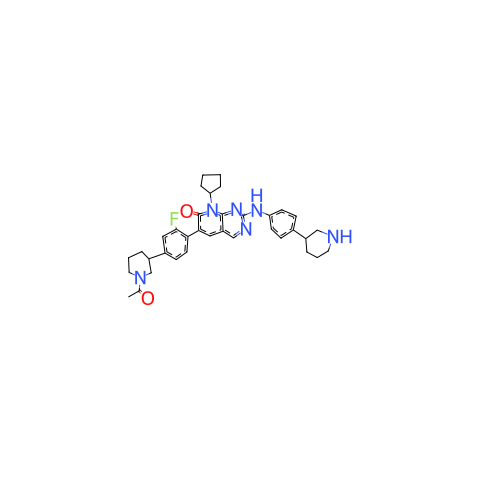 CC(=O)N1CCCC(c2ccc(-c3cc4cnc(Nc5ccc(C6CCCNC6)cc5)nc4n(C4CCCC4)c3=O)c(F)c2)C1